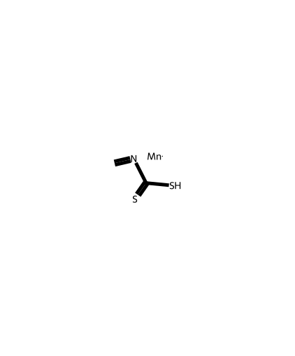 C=NC(=S)S.[Mn]